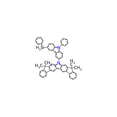 CC1(C)c2ccccc2-c2cc3c4cc5c(cc4n(-c4ccc6c(c4)c4cc([SiH2]c7ccccc7)ccc4n6-c4ccccc4)c3cc21)C(C)(C)c1ccccc1-5